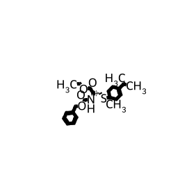 CCOC(=O)[C@H](CSC1(C)CC=C(C(C)C)CC1)NC(=O)OCc1ccccc1